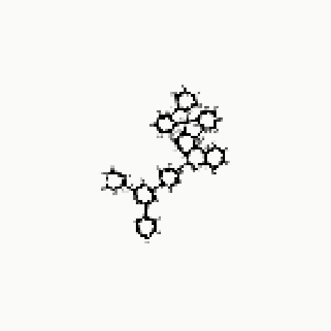 c1ccc(-c2cc(-c3ccc(-c4nc5ccccc5c5c6c(ccc45)C4(c5ccccc5-c5ccccc54)c4ccccc4-6)cc3)cc(-c3ccccc3)n2)cc1